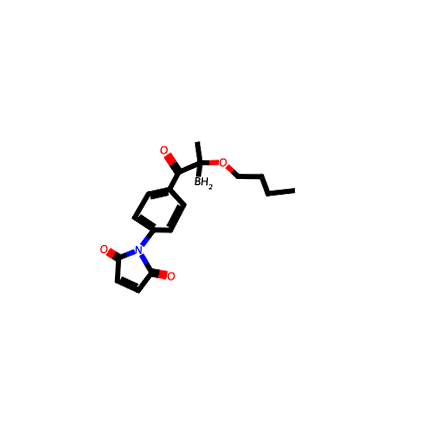 BC(C)(OCCCC)C(=O)c1ccc(N2C(=O)C=CC2=O)cc1